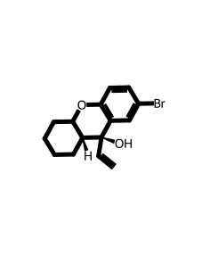 C=C[C@@]1(O)c2cc(Br)ccc2OC2CCCC[C@H]21